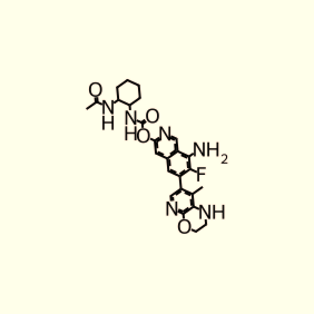 CC(=O)NC1CCCCC1NC(=O)Oc1cc2cc(-c3cnc4c(c3C)NCCO4)c(F)c(N)c2cn1